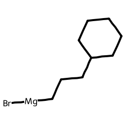 [Br][Mg][CH2]CCC1CCCCC1